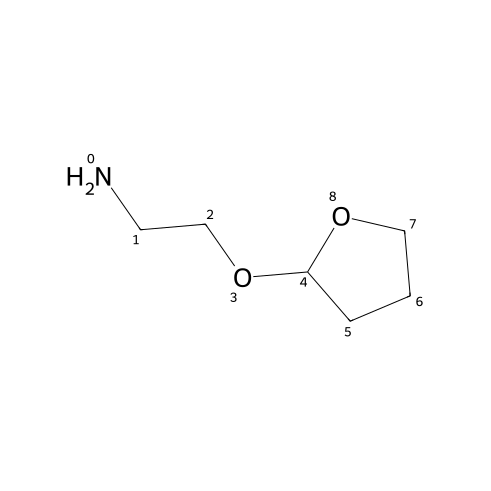 NCCOC1CCCO1